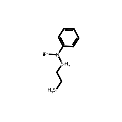 CC(C)N([SiH2]CC[SiH3])c1ccccc1